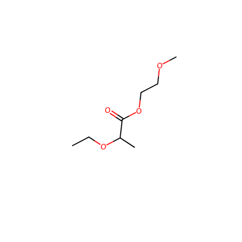 CCOC(C)C(=O)OCCOC